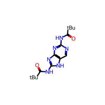 CC(C)(C)C(=O)Nc1ncc2[nH]c(NC(=O)C(C)(C)C)nc2n1